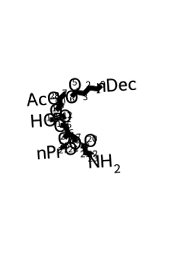 CCCCCCCCCCCCCC(=O)OC[C@H](COP(=O)(O)OCC(COC(=O)CCN)OC(=O)CCC)OC(C)=O